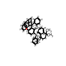 CC1(C)CCC(C)(C)c2c(N(c3ccccc3)c3ccc(-c4ccccc4)c4c3Oc3ccccc3C43C4CC5CC6CC3C64C5)cccc21